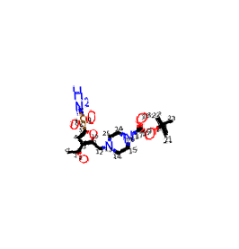 CC(=O)c1cc(S(N)(=O)=O)oc1CN1CCN(C(=O)OC(C)(C)C)CC1